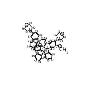 COc1cc2c3c(c4c(c2cc1N1CCOCC1)C=CC(c1ccccc1)(c1ccc(N2CCOCC2)cc1)O4)C(c1ccccc1)(c1ccccc1)c1ccccc1-3